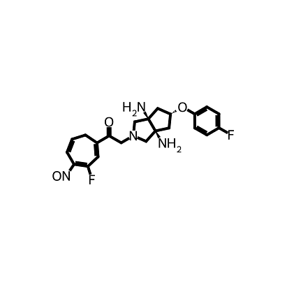 N[C@@]12C[C@H](Oc3ccc(F)cc3)C[C@]1(N)CN(CC(=O)C1=CC(F)=C(N=O)C=CC1)C2